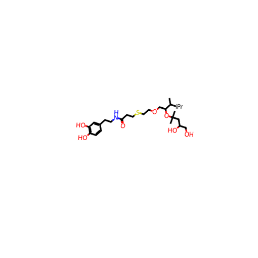 CC(C)C(C)C(COCCSCCC(=O)NCCc1ccc(O)c(O)c1)OC(C)(C)CC(O)CO